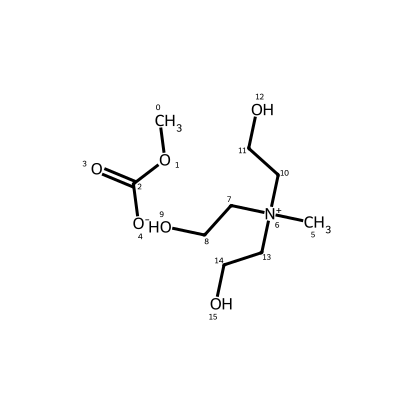 COC(=O)[O-].C[N+](CCO)(CCO)CCO